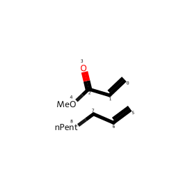 C=CC(=O)OC.C=CCCCCCC